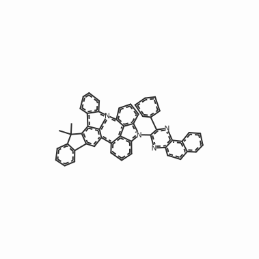 CC1(C)c2ccccc2-c2cc3c4cccc5c4c4c(cccc4n4c6ccccc6c(c21)c34)n5-c1nc2ccc3ccccc3c2nc1-c1ccccc1